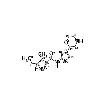 CCc1[nH]nc(C(=O)Nc2cc(C3CNCCO3)cs2)c1C